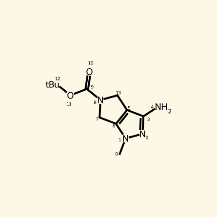 Cn1nc(N)c2c1CN(C(=O)OC(C)(C)C)C2